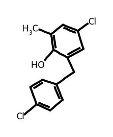 Cc1cc(Cl)cc(Cc2ccc(Cl)cc2)c1O